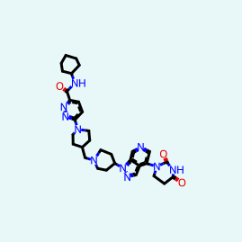 O=C1CCN(c2cncc3c2cnn3C2CCN(CC3CCN(c4ccc(C(=O)NC5CCCCC5)nn4)CC3)CC2)C(=O)N1